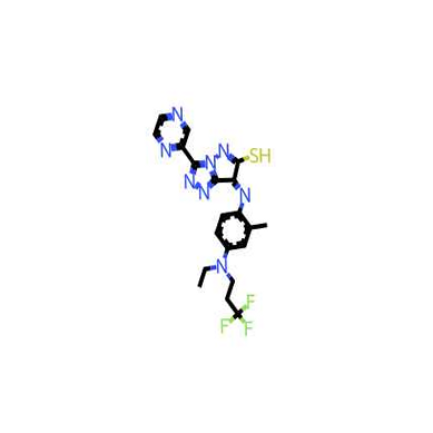 CCN(CCC(F)(F)F)c1ccc(/N=C2/C(S)=Nn3c2nnc3-c2cnccn2)c(C)c1